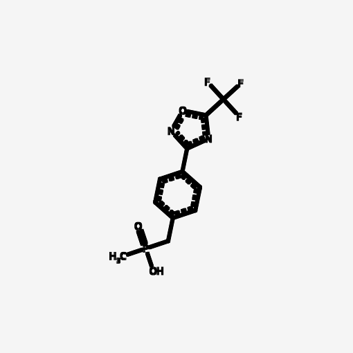 CP(=O)(O)Cc1ccc(-c2noc(C(F)(F)F)n2)cc1